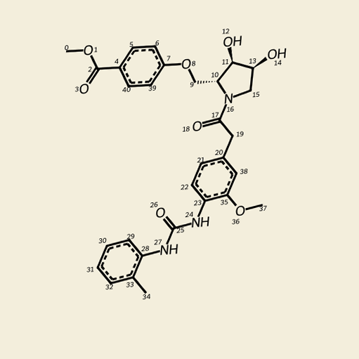 COC(=O)c1ccc(OC[C@@H]2[C@@H](O)[C@@H](O)CN2C(=O)Cc2ccc(NC(=O)Nc3ccccc3C)c(OC)c2)cc1